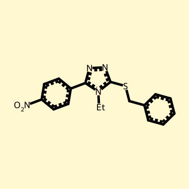 CCn1c(SCc2ccccc2)nnc1-c1ccc([N+](=O)[O-])cc1